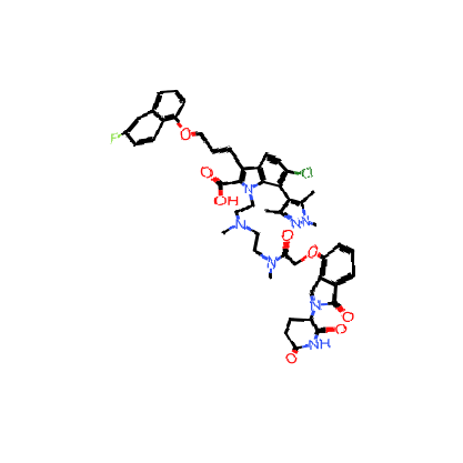 Cc1nn(C)c(C)c1-c1c(Cl)ccc2c(CCCOc3cccc4cc(F)ccc34)c(C(=O)O)n(CCN(C)CCN(C)C(=O)COc3cccc4c3CN(C3CCC(=O)NC3=O)C4=O)c12